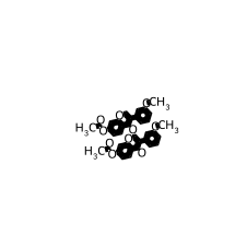 COc1cccc(-c2coc3cc(OC(C)=O)ccc3c2=O)c1.COc1cccc(-c2coc3cc(OC(C)=O)ccc3c2=O)c1